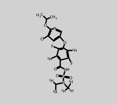 [2H]c1c(F)c(C(=O)NS(=O)(=O)N(C([2H])[2H])C([2H])([2H])[2H])c([2H])c(F)c1Oc1cnc(OC(C)C)c(Cl)c1